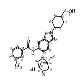 O=C(Nc1cc2cn(C3CCC(CO)CC3)nc2cc1N1C[C@H]2C[C@@H]1CO2)c1cccc(C(F)(F)F)n1